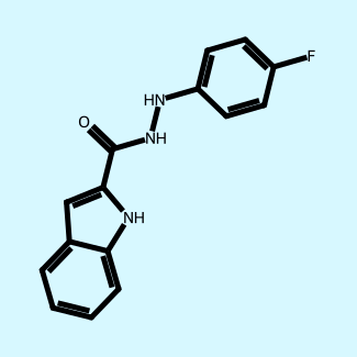 O=C(NNc1ccc(F)cc1)c1cc2ccccc2[nH]1